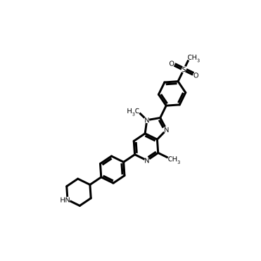 Cc1nc(-c2ccc(C3CCNCC3)cc2)cc2c1nc(-c1ccc(S(C)(=O)=O)cc1)n2C